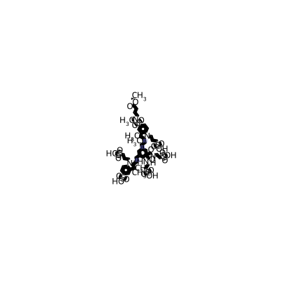 CCOC(=O)CCCN(C)S(=O)(=O)c1ccc2c(c1)C(C)(C)/C(=C\C=C1C=C(/C=C/C3=[N+](CCCS(=O)(=O)O)c4ccc(S(=O)(=O)O)cc4C3(C)C)CC(C(=O)NCCS(=O)(=O)O)(C(=O)NCCS(=O)(=O)O)C\1)N2CCCS(=O)(=O)O